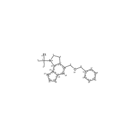 CCC(C)(C)N1CCc2c(COCc3ccccc3)nc3ccnn3c21